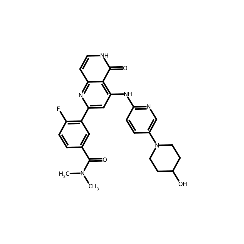 CN(C)C(=O)c1ccc(F)c(-c2cc(Nc3ccc(N4CCC(O)CC4)cn3)c3c(=O)[nH]ccc3n2)c1